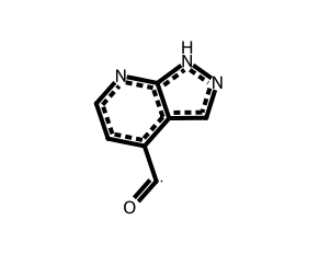 O=[C]c1ccnc2[nH]ncc12